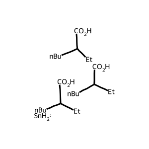 CCCCC(CC)C(=O)O.CCCCC(CC)C(=O)O.CCCCC(CC)C(=O)O.[SnH2]